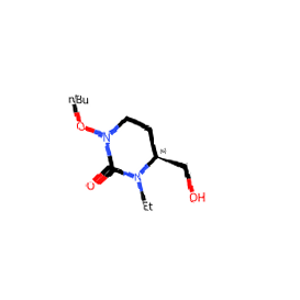 CCCCON1CC[C@@H](CO)N(CC)C1=O